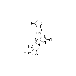 OC1CSC(Cn2cnc3c(NCc4cccc(I)c4)nc(Cl)nc32)C1O